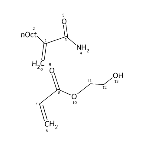 C=C(CCCCCCCC)C(N)=O.C=CC(=O)OCCO